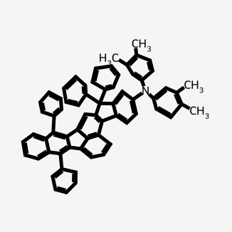 Cc1ccc(N(c2ccc(C)c(C)c2)c2ccc3c(c2)C(c2ccccc2)(c2ccccc2)c2cc4c5c(cccc5c2-3)-c2c-4c(-c3ccccc3)c3ccccc3c2-c2ccccc2)cc1C